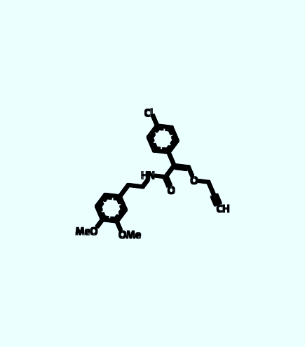 C#CCO/C=C(\C(=O)NCCc1ccc(OC)c(OC)c1)c1ccc(Cl)cc1